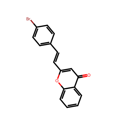 O=c1cc(/C=C/c2ccc(Br)cc2)oc2ccccc12